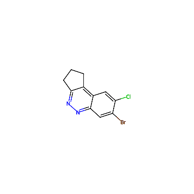 Clc1cc2c3c(nnc2cc1Br)CCC3